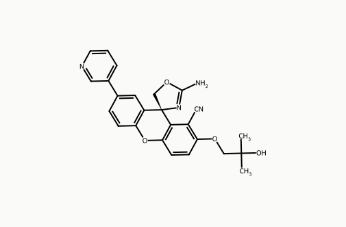 CC(C)(O)COc1ccc2c(c1C#N)[C@]1(COC(N)=N1)c1cc(-c3cccnc3)ccc1O2